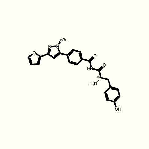 CCCCn1nc(-c2ccco2)cc1-c1ccc(C(=O)NC(=O)[C@@H](N)Cc2ccc(O)cc2)cc1